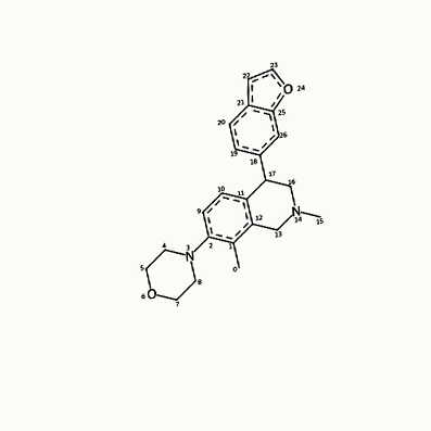 Cc1c(N2CCOCC2)ccc2c1CN(C)CC2c1ccc2ccoc2c1